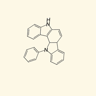 C1=CC2c3ccccc3N(c3ccccc3)C2c2c1[nH]c1ccccc21